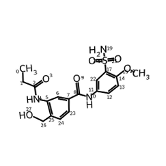 CCC(=O)Nc1cc(C(=O)Nc2ccc(OC)c(S(N)(=O)=O)c2)ccc1CO